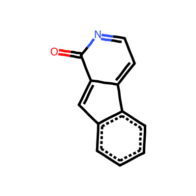 O=C1N=CC=C2C1=Cc1ccccc12